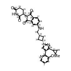 COc1cccnc1-c1cn([C@H]2C[C@H](CNc3ccc4c(c3)C(=O)N(C3CCC(=O)NC3=O)C4=O)C2)nc1C1CC1